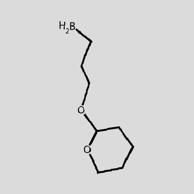 BCCCOC1CCCCO1